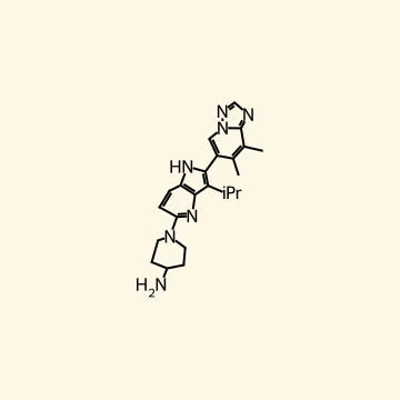 Cc1c(-c2[nH]c3ccc(N4CCC(N)CC4)nc3c2C(C)C)cn2ncnc2c1C